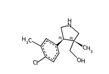 Cc1cc([C@H]2CNC[C@]2(C)CO)ccc1Cl